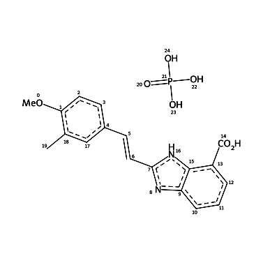 COc1ccc(C=Cc2nc3cccc(C(=O)O)c3[nH]2)cc1C.O=P(O)(O)O